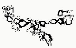 CC(C)c1ccccc1[C@@H]1COCCCN1C1CC2(CCN(c3ccc(C(=O)NS(=O)(=O)c4cc5c(c([N+](=O)[O-])c4)N[C@H](C4(F)CCC(C)(OP(=O)(O)O)CC4)CO5)c(N4c5cc6cc[nH]c6nc5O[C@H]5COCC[C@@H]54)c3)CC2)C1